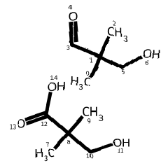 CC(C)(C=O)CO.CC(C)(CO)C(=O)O